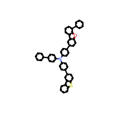 c1ccc(-c2ccc(N(c3ccc(-c4ccc5oc6c(-c7ccccc7)cccc6c5c4)cc3)c3ccc(-c4ccc5sc6ccccc6c5c4)cc3)cc2)cc1